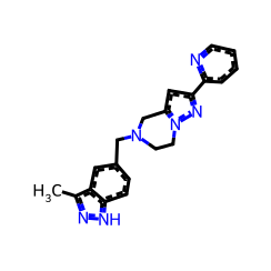 Cc1n[nH]c2ccc(CN3CCn4nc(-c5ccccn5)cc4C3)cc12